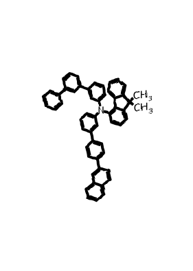 CC1(C)c2ccccc2-c2c(N(c3cccc(-c4ccc(-c5ccc6ccccc6c5)cc4)c3)c3cccc(-c4cccc(-c5ccccc5)c4)c3)cccc21